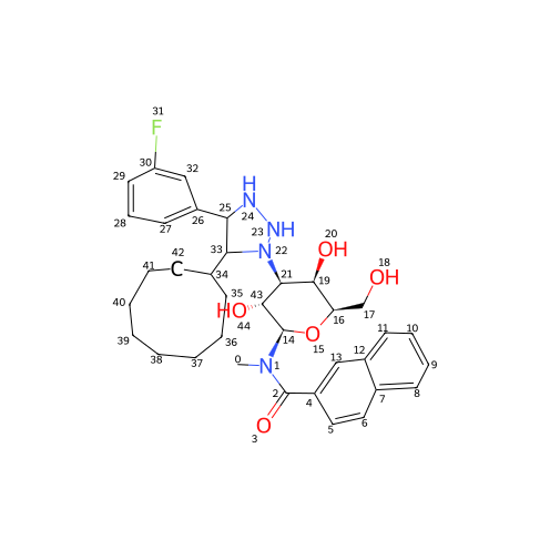 CN(C(=O)c1ccc2ccccc2c1)[C@@H]1O[C@H](CO)[C@H](O)[C@H](N2NNC(c3cccc(F)c3)C2C2CCCCCCCC2)[C@H]1O